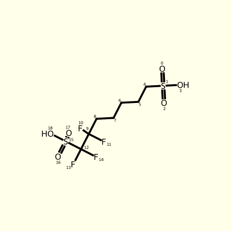 O=S(=O)(O)CCCCCC(F)(F)C(F)(F)S(=O)(=O)O